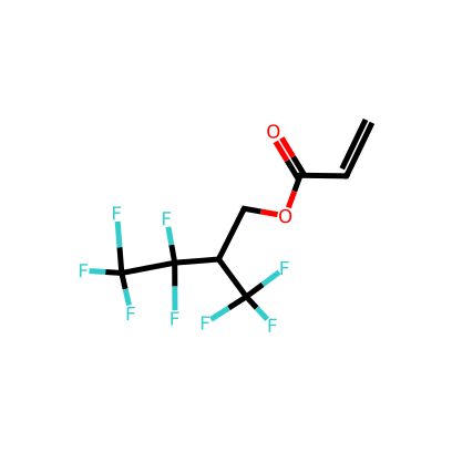 C=CC(=O)OCC(C(F)(F)F)C(F)(F)C(F)(F)F